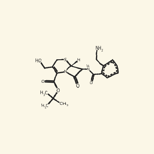 CC(C)(C)OC(=O)C1=C(CO)CS[C@@H]2C(NC(=O)c3ccccc3CN)C(=O)N12